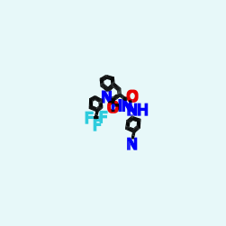 N#Cc1ccc(NNC(=O)c2cc3ccccc3n(-c3cccc(C(F)(F)F)c3)c2=O)cc1